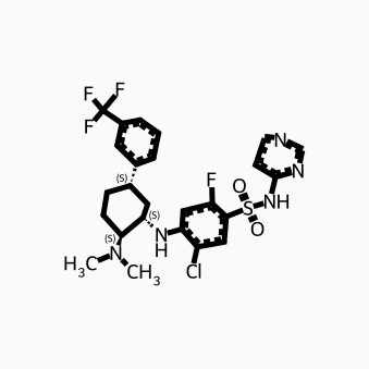 CN(C)[C@H]1CC[C@H](c2cccc(C(F)(F)F)c2)C[C@@H]1Nc1cc(F)c(S(=O)(=O)Nc2ccncn2)cc1Cl